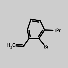 C=[C]c1cccc(CCC)c1Br